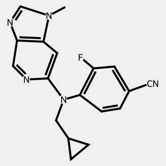 Cn1cnc2cnc(N(CC3CC3)c3ccc(C#N)cc3F)cc21